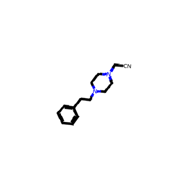 N#CCN1CCN(CCc2ccccc2)CC1